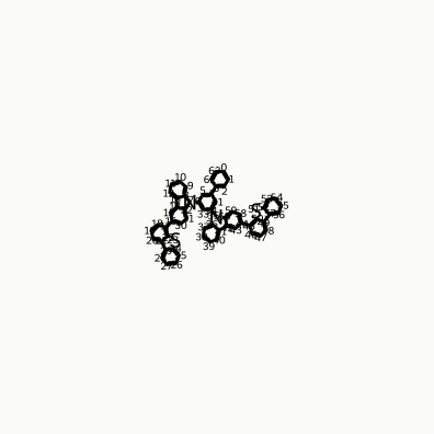 c1ccc(-c2cc(-n3c4ccccc4c4cc(-c5cccc6c5sc5ccccc56)ccc43)cc(-n3c4ccccc4c4cc(-c5cccc6c5sc5ccccc56)ccc43)c2)cc1